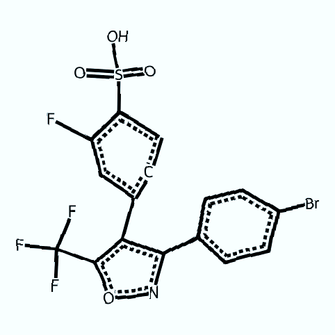 O=S(=O)(O)c1ccc(-c2c(-c3ccc(Br)cc3)noc2C(F)(F)F)cc1F